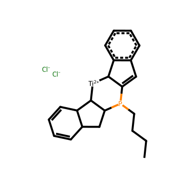 CCCCP1C2=Cc3ccccc3[CH]2[Ti+2][CH]2C3C=CC=CC3CC21.[Cl-].[Cl-]